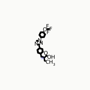 CC/C(=C/c1ccc(-c2ncn(-c3ccc(OC(F)(F)F)cc3)n2)cc1)C(=O)O